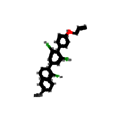 C=CCOc1ccc(-c2c(F)cc(-c3ccc4cc(CCCC)ccc4c3F)cc2F)cc1